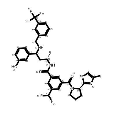 Cc1csc([C@H]2CCCN2C(=O)c2cc(C(=O)N[C@@H](C)CC(NCc3cccc(C(F)(F)F)c3)c3cccc(O)c3)cc(C(F)F)c2)n1